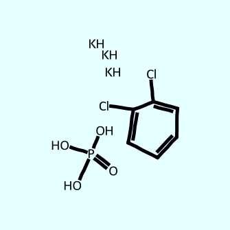 Clc1ccccc1Cl.O=P(O)(O)O.[KH].[KH].[KH]